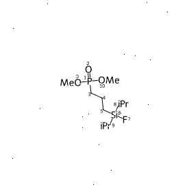 COP(=O)(CCC[Si](F)(C(C)C)C(C)C)OC